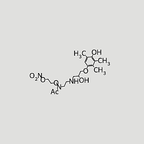 CC(=O)N(CCNCC(O)COc1cc(C)c(O)c(C)c1C)OCCO[N+](=O)[O-]